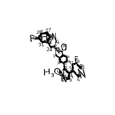 Cn1ncc(-c2cncc(F)c2)c1-c1ccc2c(c1)CN([C@H](CN)Cc1cccc(F)c1)C2=O